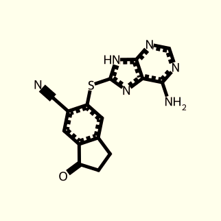 N#Cc1cc2c(cc1Sc1nc3c(N)ncnc3[nH]1)CCC2=O